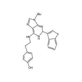 CCC(C)n1cnc2c1=NC(c1csc3ccccc13)NC=2NCCc1ccc(O)cc1